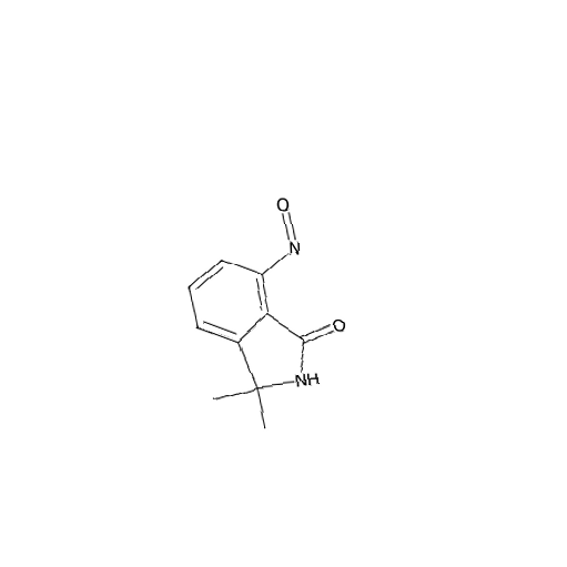 CC1(C)NC(=O)c2c(N=O)cccc21